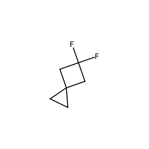 FC1(F)CC2(CC2)C1